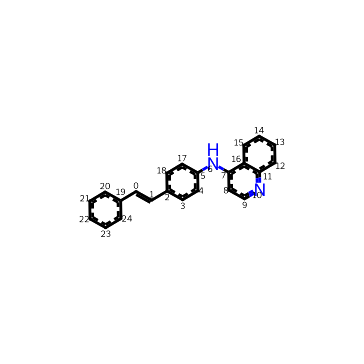 C(=Cc1ccc(Nc2ccnc3ccccc23)cc1)c1ccccc1